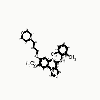 COc1cc2c(cc1OCCCN1CCOCC1)nc(Nc1c(C)cccc1Cl)c1cncn12